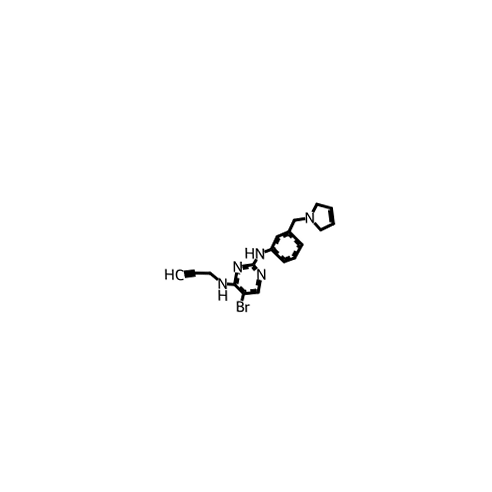 C#CCNc1nc(Nc2cccc(CN3CC=CC3)c2)ncc1Br